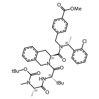 COC(=O)c1ccc(CN(C(=O)[C@@H]2Cc3ccccc3CN2C(=O)[C@@H](NC(=O)[C@H](C)N(C)C(=O)OC(C)(C)C)C(C)(C)C)[C@H](C)c2ccccc2Cl)cc1